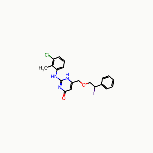 Cc1c(Cl)cccc1Nc1nc(=O)cc(COCC(I)c2ccccc2)[nH]1